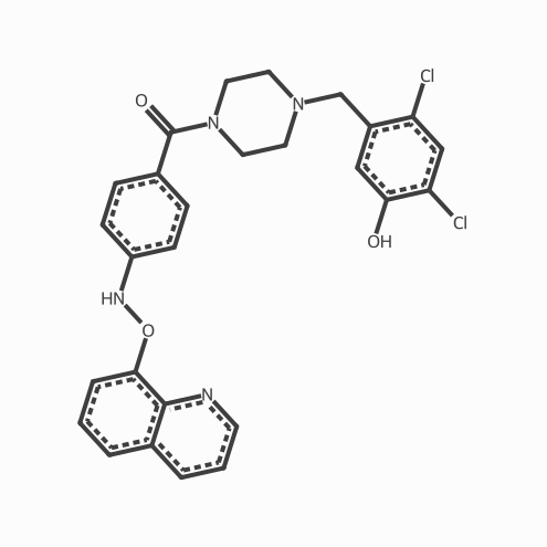 O=C(c1ccc(NOc2cccc3cccnc23)cc1)N1CCN(Cc2cc(O)c(Cl)cc2Cl)CC1